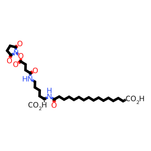 O=C(O)CCCCCCCCCCCCCCC(=O)N[C@@H](CCCCNC(=O)CCC(=O)ON1C(=O)CCC1=O)C(=O)O